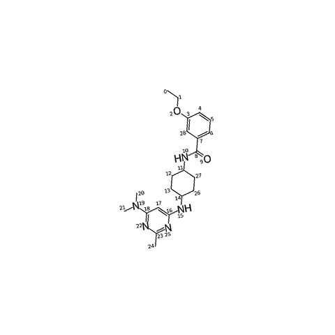 CCOc1cccc(C(=O)NC2CCC(Nc3cc(N(C)C)nc(C)n3)CC2)c1